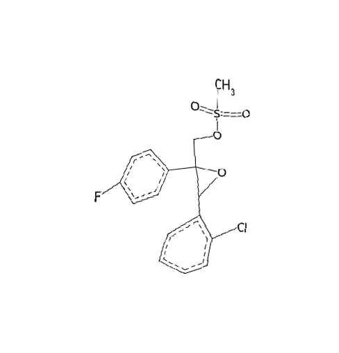 CS(=O)(=O)OCC1(c2ccc(F)cc2)OC1c1ccccc1Cl